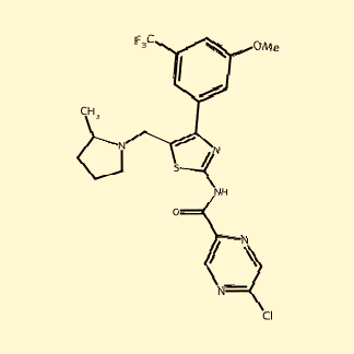 COc1cc(-c2nc(NC(=O)c3cnc(Cl)cn3)sc2CN2CCCC2C)cc(C(F)(F)F)c1